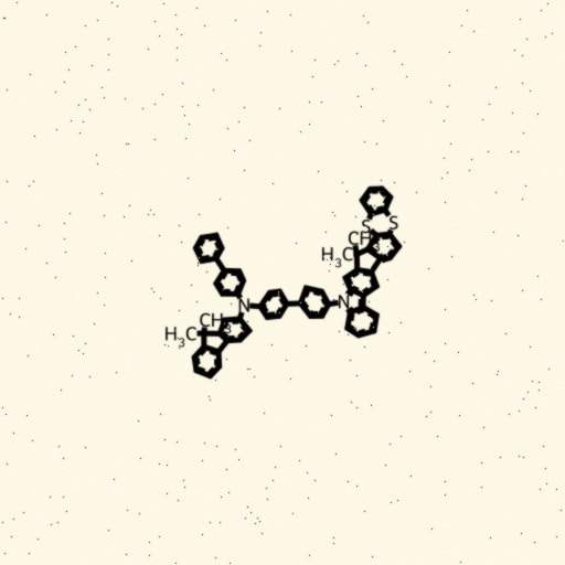 CC1(C)c2ccccc2-c2ccc(N(c3ccc(-c4ccccc4)cc3)c3ccc(-c4ccc(-n5c6ccccc6c6cc7c(cc65)C(C)(C)c5c-7ccc6c5Sc5ccccc5S6)cc4)cc3)cc21